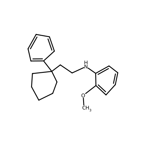 COc1ccccc1NCCC1(c2ccccc2)CCCCC1